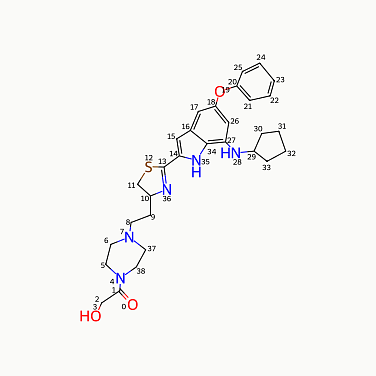 O=C(CO)N1CCN(CCC2CSC(c3cc4cc(Oc5ccccc5)cc(NC5CCCC5)c4[nH]3)=N2)CC1